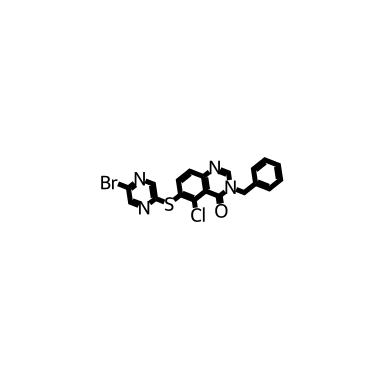 O=c1c2c(Cl)c(Sc3cnc(Br)cn3)ccc2ncn1Cc1ccccc1